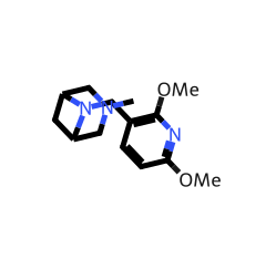 COc1ccc(CN2C3CC2CN(C)C3)c(OC)n1